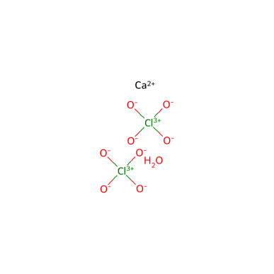 O.[Ca+2].[O-][Cl+3]([O-])([O-])[O-].[O-][Cl+3]([O-])([O-])[O-]